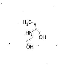 CC=C(CO)NCCO